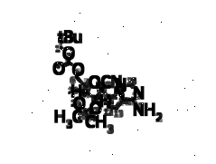 CC(C)(C)COC(=O)OC[C@H]1O[C@@](C#N)(c2ccc3c(N)ncnn23)[C@@H]2OC(C)(C)O[C@@H]21